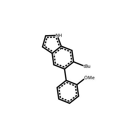 COc1ccccc1-c1cc2cc[nH]c2cc1C(C)(C)C